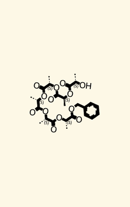 C[C@H](O)C(=O)O[C@@H](C)C(=O)O[C@@H](C)C(=O)O[C@@H](C)C(=O)O[C@@H](C)C(=O)O[C@@H](C)C(=O)OCc1ccccc1